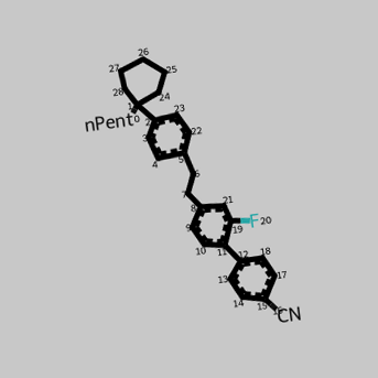 CCCCCC1(c2ccc(CCc3ccc(-c4ccc(C#N)cc4)c(F)c3)cc2)CCCCC1